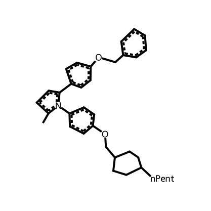 CCCCCC1CCC(COc2ccc(-n3c(C)ccc3-c3ccc(OCc4ccccc4)cc3)cc2)CC1